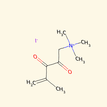 C=C(C)C(=O)C(=O)C[N+](C)(C)C.[I-]